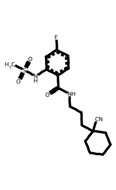 CS(=O)(=O)Nc1cc(F)ccc1C(=O)NCCCC1(C#N)CCCCC1